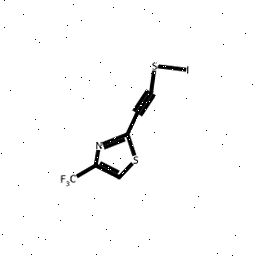 FC(F)(F)c1csc(C#CSI)n1